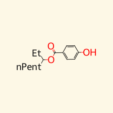 CCCCCC(CC)OC(=O)c1ccc(O)cc1